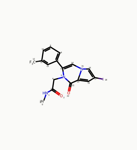 CC(C)NC(=O)Cn1c(-c2cccc(C(F)(F)F)c2)cn2cc(I)cc2c1=O